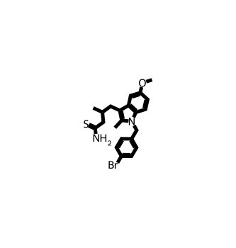 COc1ccc2c(c1)c(CC(C)CC(N)=S)c(C)n2Cc1ccc(Br)cc1